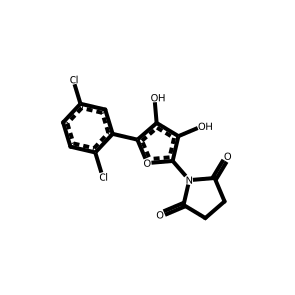 O=C1CCC(=O)N1c1oc(-c2cc(Cl)ccc2Cl)c(O)c1O